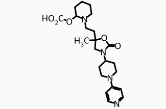 CC1(CCN2CCCCC2OC(=O)O)CN(C2CCN(c3ccncc3)CC2)C(=O)O1